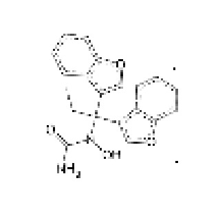 CCC(c1coc2ccccc12)(c1coc2ccccc12)N(O)C(N)=O